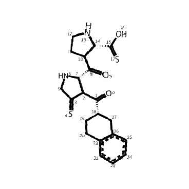 O=C(C1C(=S)CN[C@@H]1C(=O)C1CCN[C@@H]1C(O)=S)[C@H]1CCc2ccccc2C1